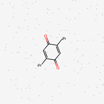 CC(C)C1=CC(=O)C(C(C)C)=CC1=O